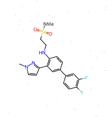 CNS(=O)(=O)CCNc1ccc(-c2ccc(F)c(F)c2)cc1-c1ccn(C)n1